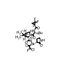 CC[C@@H](C)[C@H](NC(=O)[C@H]1CC1(F)F)C(=O)N1C[C@H]2[C@@H]([C@H]1C(=O)NN(C[C@@H]1CCNC1=O)C(=O)[C@@H](F)Cl)C2(C)C